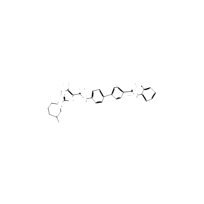 CC1CCCN(c2nc(C(F)(F)F)c(C(=O)Nc3ccc(-c4ccc(C(=O)Nc5ccccc5Cl)cc4)cc3)o2)C1